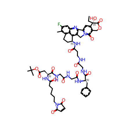 CC[C@@]1(O)C(=O)OCc2c1cc1n(c2=O)Cc2c-1nc1cc(F)c(C)c3c1c2[C@@H](NC(=O)CCNC(=O)CNC(=O)[C@H](Cc1ccccc1)NC(=O)CNC(=O)CNC(=O)[C@H](CC(=O)OC(C)(C)C)NC(=O)CCCCCN1C(=O)C=CC1=O)CC3